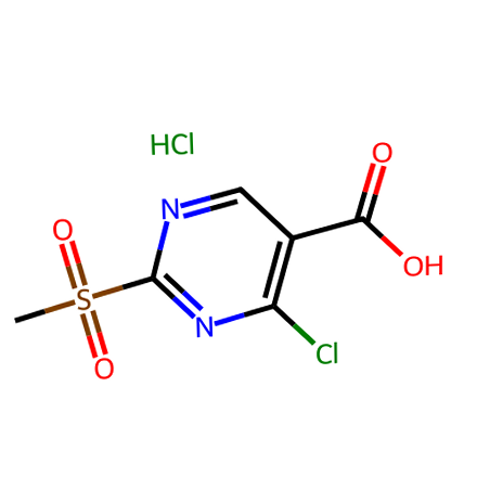 CS(=O)(=O)c1ncc(C(=O)O)c(Cl)n1.Cl